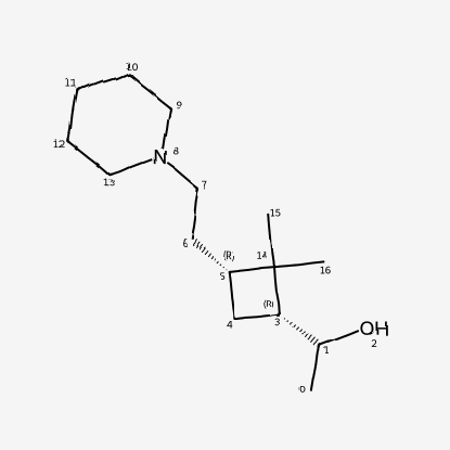 CC(O)[C@@H]1C[C@H](CCN2CCCCC2)C1(C)C